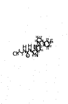 O=C(NCCCl)Nc1cnc2ccc(N3CCCC3c3cccc(F)c3)nn12